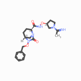 CC(=N)N1CC[C@H](ONC(=O)[C@@H]2CC[C@@H]3CN2C(=O)N3OCc2ccccc2)C1